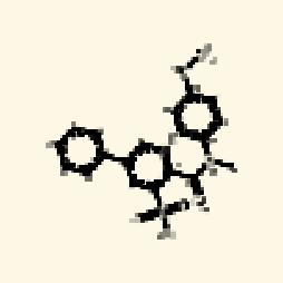 CCS(=O)(=O)c1cc(-c2ccccc2)cnc1C(=O)N(C)c1ccc(SC(F)(F)F)cc1